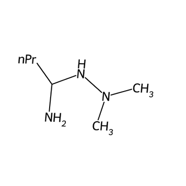 CCCC(N)NN(C)C